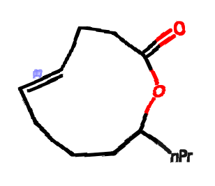 CCCC1CCC/C=C/CCC(=O)O1